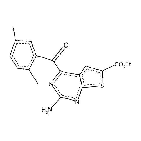 CCOC(=O)c1cc2c(C(=O)c3cc(C)ccc3C)nc(N)nc2s1